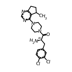 CC1CCc2ncnc(N3CCN(C(=O)[C@H](N)Cc4ccc(Cl)c(Cl)c4)CC3)c21